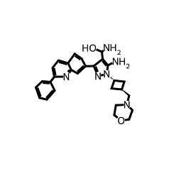 Nc1c(C(N)O)c(-c2ccc3ccc(-c4ccccc4)nc3c2)nn1[C@H]1C[C@H](CN2CCOCC2)C1